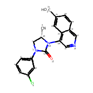 N#C[C@H]1CN(c2cccc(Cl)c2)C(=O)N1c1cncc2ccc(C(=O)O)cc12